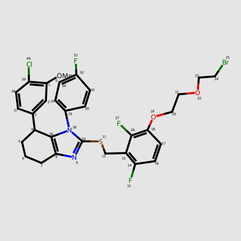 COc1cc(C2CCCc3nc(SCc4c(F)ccc(OCCOCCBr)c4F)n(-c4ccc(F)cc4)c32)ccc1Cl